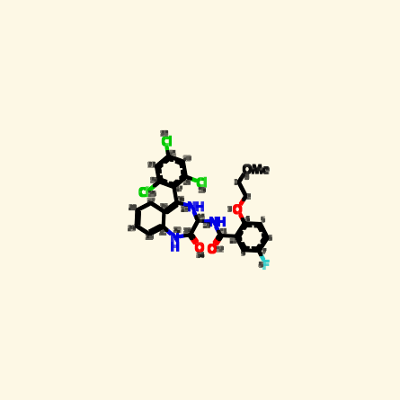 COCCOc1ccc(F)cc1C(=O)N[C@@H]1NC(c2c(Cl)cc(Cl)cc2Cl)=C2CC=CC=C2NC1=O